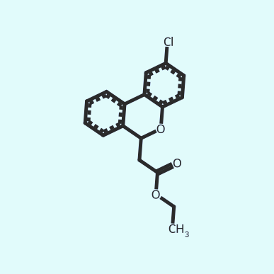 CCOC(=O)CC1Oc2ccc(Cl)cc2-c2ccccc21